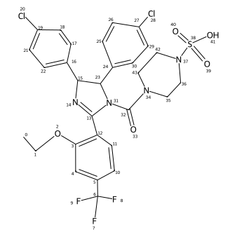 CCOc1cc(C(F)(F)F)ccc1C1=NC(c2ccc(Cl)cc2)C(c2ccc(Cl)cc2)N1C(=O)N1CCN(S(=O)(=O)O)CC1